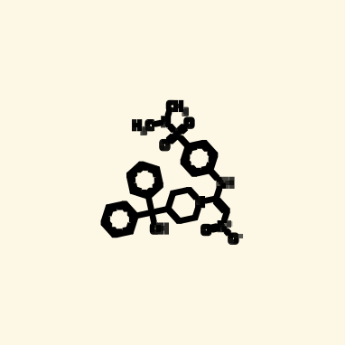 CN(C)S(=O)(=O)c1ccc(N/C(=C/[N+](=O)[O-])N2CCC(C(O)(c3ccccc3)c3ccccc3)CC2)cc1